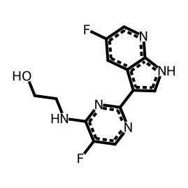 OCCNc1nc(-c2c[nH]c3ncc(F)cc23)ncc1F